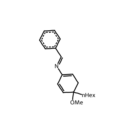 CCCCCCC1(OC)C=CC(N=Cc2ccccc2)=CC1